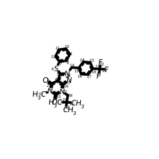 Cn1c(=O)c2c(Sc3ccccc3)n(Cc3ccc(C(F)(F)F)cc3)nc2n(CC(C)(C)C)c1=O